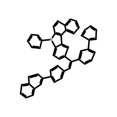 C(=C(\c1cccc(-c2ccccc2)c1)c1ccc2c(c1)c1c3ccccc3ccc1n2-c1ccccc1)/c1ccc(-c2ccc3ccccc3c2)cc1